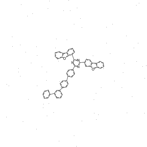 c1ccc(-c2cccc(-c3ccc(-c4ccc(-c5nc(-c6ccc7c(c6)oc6ccccc67)nc(-c6cccc7c6oc6ccccc67)n5)cc4)cc3)c2)cc1